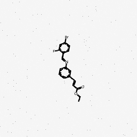 CCOC(=O)/C=C/c1cccc(/N=C/c2ccc(Br)cc2F)c1